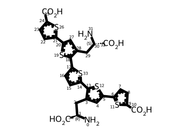 N[C@H](Cc1cc(-c2ccc(C(=O)O)s2)sc1-c1ccc(-c2sc(-c3ccc(C(=O)O)s3)cc2C[C@H](N)C(=O)O)s1)C(=O)O